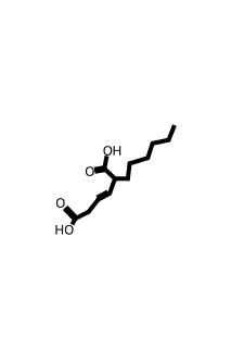 CCCCCCC(/C=C/CC(=O)O)C(=O)O